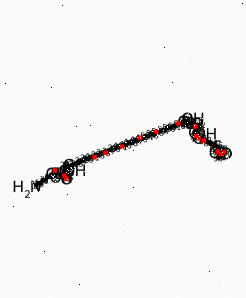 C=P(O)(OCCCCCCN)OCC1OCCC1OP(=C)(O)OCCCCCCCCCCCCCCCCCCCCCCCCCCCCCCCCCCCCCCCCCOP(=C)(O)OCC1OCCC1OP(=C)(O)OCCCCCCSC1CC(=O)N(CC)C1=O